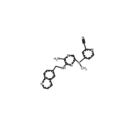 CN(c1ccnc(C#N)c1)c1cnc(N)c(NCc2ccc3ncccc3c2)n1